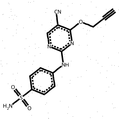 C#CCOc1nc(Nc2ccc(S(N)(=O)=O)cc2)ncc1C#N